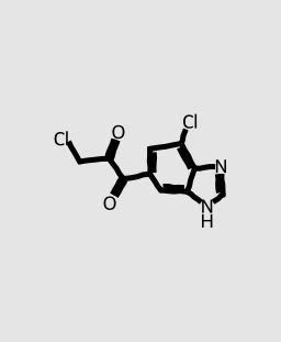 O=C(CCl)C(=O)c1cc(Cl)c2nc[nH]c2c1